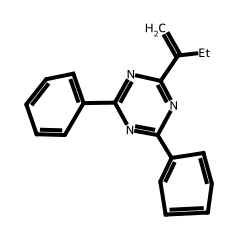 C=C(CC)c1nc(-c2ccccc2)nc(-c2ccccc2)n1